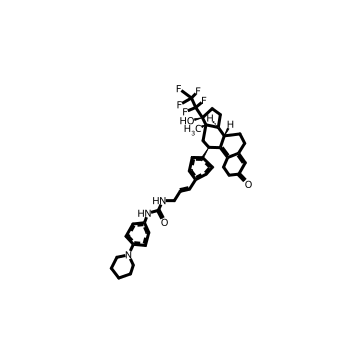 C[C@]12C[C@H](c3ccc(C=CCNC(=O)Nc4ccc(N5CCCCC5)cc4)cc3)C3=C4CCC(=O)C=C4CC[C@H]3[C@@H]1CC[C@@]2(O)C(F)(F)C(F)(F)F